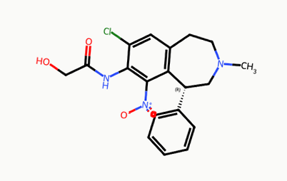 CN1CCc2cc(Cl)c(NC(=O)CO)c([N+](=O)[O-])c2[C@@H](c2ccccc2)C1